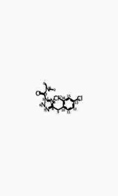 CN(C)C(=O)n1nnc(Cc2ccc(Cl)cc2Cl)n1